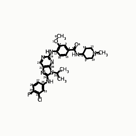 COc1cc(C(=O)NC2CCN(C)CC2)ccc1Nc1ncc2nc(Nc3ccc(F)c(Cl)c3)n(C(C)C)c2n1